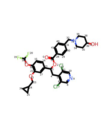 O=C(OC(Cc1c(Cl)cncc1Cl)c1ccc(OC(F)F)c(OCC2CC2)c1)c1ccc(CN2CCC(O)CC2)cc1